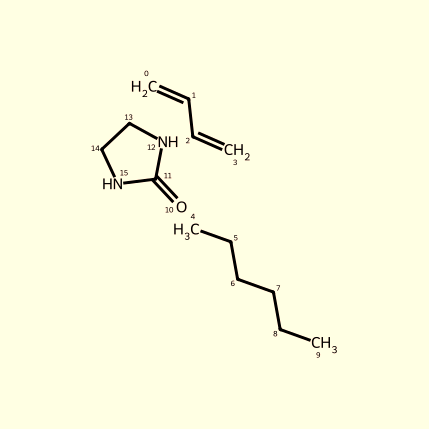 C=CC=C.CCCCCC.O=C1NCCN1